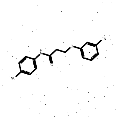 N#Cc1ccc(NC(=O)CCOc2cccc(C#N)c2)cc1